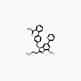 CCCc1nc2c(C)cc(-c3ccccn3)cc2n1Cc1ccc(-c2ccccc2C(=O)O)cc1